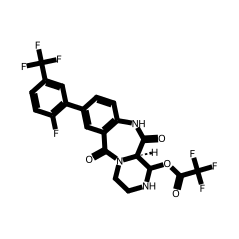 O=C1Nc2ccc(-c3cc(C(F)(F)F)ccc3F)cc2C(=O)N2CCNC(OC(=O)C(F)(F)F)[C@H]12